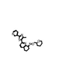 Cc1nc(-c2cccnc2)sc1-c1ccc2c(n1)/C(=N/OCC1CCCCO1)CCC2